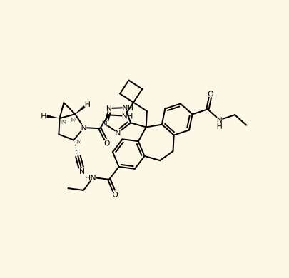 CCNC(=O)c1ccc2c(c1)CCc1cc(C(=O)NCC)ccc1C2(CC1(NCC(=O)N2[C@H](C#N)C[C@@H]3C[C@@H]32)CCC1)c1nnn[nH]1